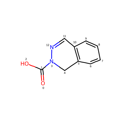 O=C(O)N1Cc2ccc[c]c2C=N1